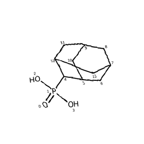 O=P(O)(O)C1[C]2CC3CC(C2)CC1C3